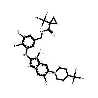 Cn1c(Nc2cc(CNC(=O)C3(C(F)(F)F)CC3)cc(F)c2Cl)nc2cc(Cl)c(N3CCC(C(F)(F)F)CC3)cc21